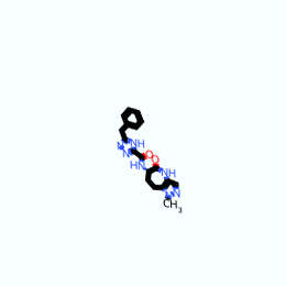 Cn1ncc2c1CC[C@@H](NC(=O)c1nnc(Cc3ccccc3)[nH]1)C(=O)N2